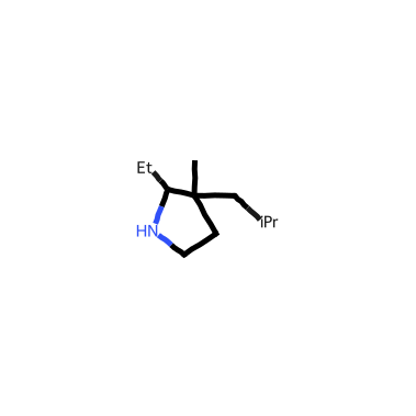 CCC1NCCC1(C)CC(C)C